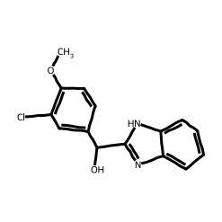 COc1ccc(C(O)c2nc3ccccc3[nH]2)cc1Cl